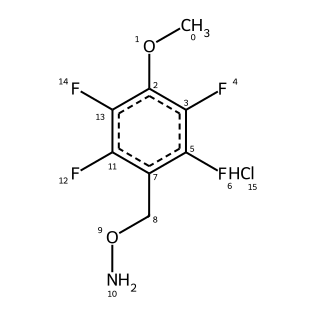 COc1c(F)c(F)c(CON)c(F)c1F.Cl